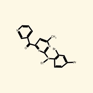 CCN(c1nc(C)cc(C(=O)c2cccnc2)n1)c1ccc(C(C)C)cc1Br